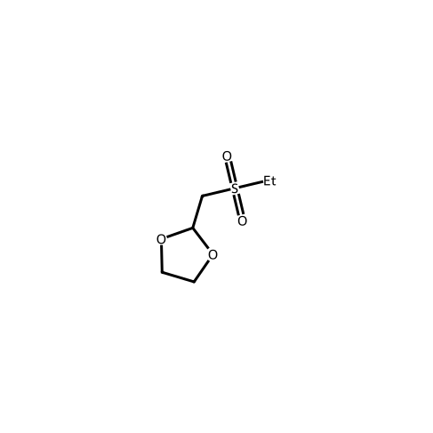 CCS(=O)(=O)CC1OCCO1